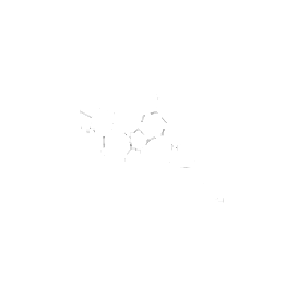 O=C1CCC(n2c(=O)oc3c(N4CCC(CCO)CC4)cc(F)cc32)C(=O)N1